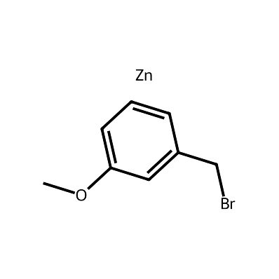 COc1cccc(CBr)c1.[Zn]